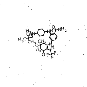 CC(C)(C)CNC1CCC(Nc2cc(-n3nc(C(F)(F)F)c4c3CC(C)(C)CC4=O)ccc2C(N)=O)CC1